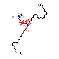 CCCCC/C=C\C/C=C\C/C=C\C/C=C\CCCC(=O)O[C@H](COC(=O)CCCCCCC/C=C\C/C=C\CCCCC)COP(=O)(O)OCC[N+](C)(C)C